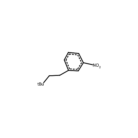 CC(C)(C)CCc1cccc([N+](=O)[O-])c1